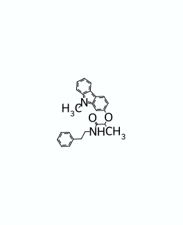 CC(Oc1ccc2c3ccccc3n(C)c2c1)C(=O)NCCc1ccccc1